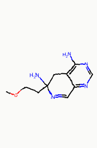 COCCC1(N)Cc2c(N)ncnc2C=N1